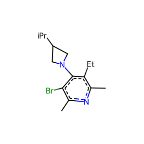 CCc1c(C)nc(C)c(Br)c1N1CC(C(C)C)C1